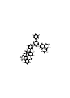 C1=CC2=CC(c3nc(-c4ccccc4)nc(-c4cccc(-c5ccc6c(c5)C5(c7ccccc7O6)c6ccccc6C6C=CC=CC65)c4)n3)CC3C=CCC(=C1)C23